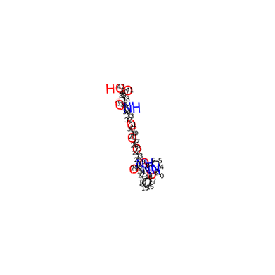 CC(=O)N1CCCC1C(=O)NC(Cc1ccccc1)C(=O)NCCCOCCOCCOCCCNC(=O)CCC(=O)O